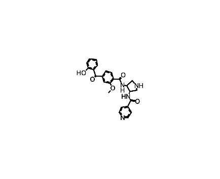 COc1cc(C(=O)c2ccccc2O)ccc1C(=O)NC1CNC[C@H]1NC(=O)c1ccncc1